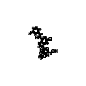 CC1(C)O[C@@H]2[C@H](O1)[C@@H](CO)O[C@H]2n1cnc2c(NCc3cccc(I)c3)nc(Cl)nc21